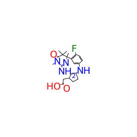 CN1C(=O)C(C)(C)C(C)(c2cc(NC3CCC(CC(=O)O)C3)ccc2F)N=C1N